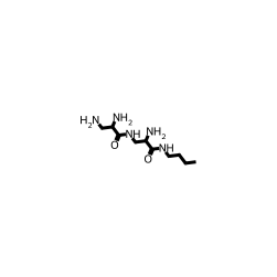 CCCCNC(=O)C(N)CNC(=O)C(N)CN